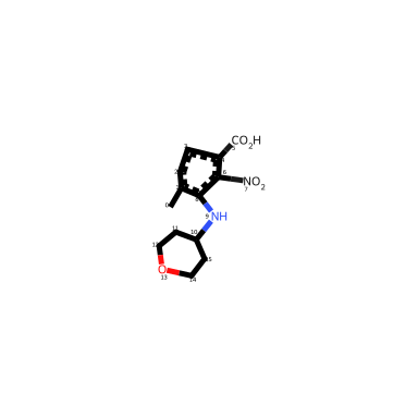 Cc1ccc(C(=O)O)c([N+](=O)[O-])c1NC1CCOCC1